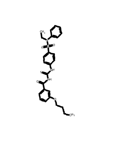 CCCCOc1cccc(C(=O)NC(=S)Nc2ccc(S(=O)(=O)N(CC)c3ccccc3)cc2)c1